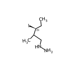 CC[C@H](I)C(C)CNN